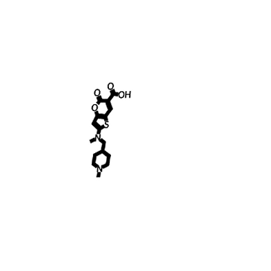 CN1CCC(CN(C)c2cc3oc(=O)c(C(=O)O)cc3s2)CC1